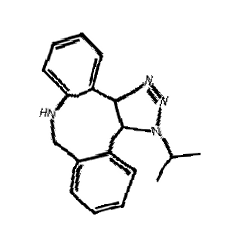 CC(C)N1N=NC2c3ccccc3NCc3ccccc3C21